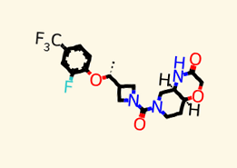 C[C@@H](Oc1ccc(C(F)(F)F)cc1F)C1CN(C(=O)N2CC[C@@H]3OCC(=O)N[C@@H]3C2)C1